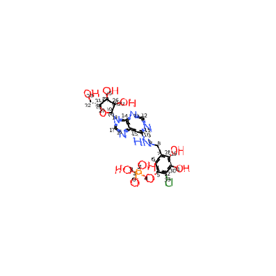 O=P(O)(O)Oc1cc(CNc2ncnc3c2ncn3[C@@H]2O[C@H](CO)[C@@H](O)[C@H]2O)c(O)c(O)c1Cl